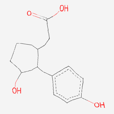 O=C(O)CC1CCC(O)C1c1ccc(O)cc1